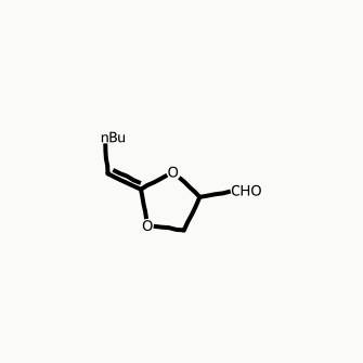 CCCCC=C1OCC(C=O)O1